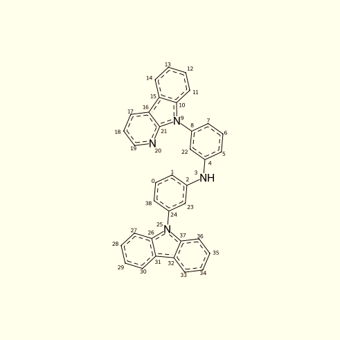 c1cc(Nc2cccc(-n3c4ccccc4c4cccnc43)c2)cc(-n2c3ccccc3c3ccccc32)c1